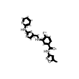 Cc1cc(NC(=O)c2ccc(F)c(NCc3cnc(Nc4ccccn4)s3)c2)no1